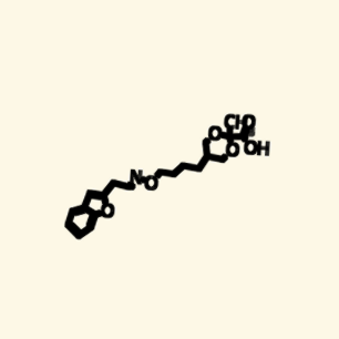 CC1(C(=O)O)OCC(CCCCON=CCc2cc3ccccc3o2)CO1